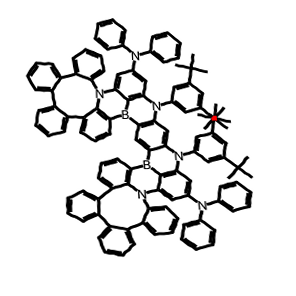 CC(C)(C)c1cc(N2c3cc4c(cc3B3c5c2cc(N(c2ccccc2)c2ccccc2)cc5-n2c5ccccc5c5ccccc5c5ccccc5c5cccc3c52)B2c3c(cc(N(c5ccccc5)c5ccccc5)cc3-n3c5ccccc5c5ccccc5c5ccccc5c5cccc2c53)N4c2cc(C(C)(C)C)cc(C(C)(C)C)c2)cc(C(C)(C)C)c1